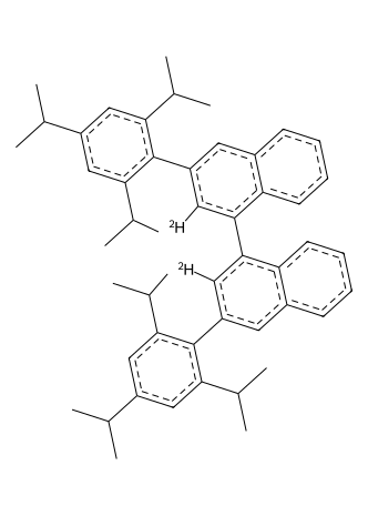 [2H]c1c(-c2c(C(C)C)cc(C(C)C)cc2C(C)C)cc2ccccc2c1-c1c([2H])c(-c2c(C(C)C)cc(C(C)C)cc2C(C)C)cc2ccccc12